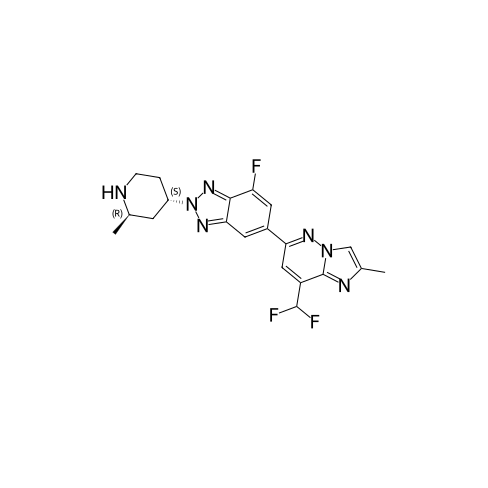 Cc1cn2nc(-c3cc(F)c4nn([C@H]5CCN[C@H](C)C5)nc4c3)cc(C(F)F)c2n1